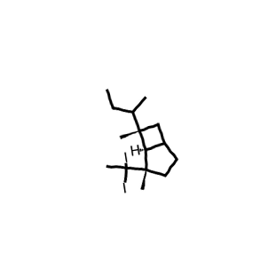 CCC(C)[C@]1(C)CC2CC[C@](C)(C(C)(I)I)[C@H]21